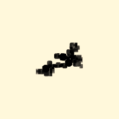 CCNC(=O)C[C@@H]1N=C(c2ccc(Cl)cc2)c2cc(OCCOCCNC(=O)c3ccc(O)c(O)c3)ccc2N2C(C)NNC12